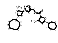 CC1C[C@H](C2CCCCCC2)O[C@@H]1C(=O)NCc1cn(C2C[C@H](C3CCCCCCCC3)O[C@@H]2C)nn1